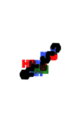 Cl.Cl.O=C(NCC(O)C1Cc2ccccc2CN1)c1ccc(CC(=O)N2CCCCC2)nc1